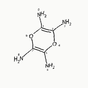 NC1=C(N)OC(N)=C(N)O1